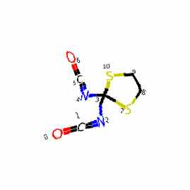 O=C=NC1(N=C=O)SCCS1